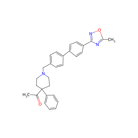 CC(=O)C1(c2ccccc2)CCN(Cc2ccc(-c3ccc(-c4noc(C)n4)cc3)cc2)CC1